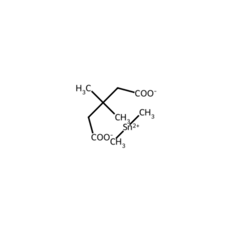 CC(C)(CC(=O)[O-])CC(=O)[O-].[CH3][Sn+2][CH3]